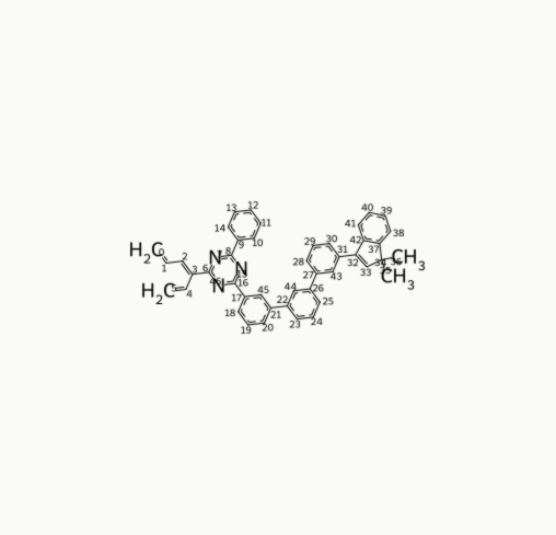 C=C/C=C(\C=C)c1nc(-c2ccccc2)nc(-c2cccc(-c3cccc(-c4cccc(C5=CC(C)(C)c6ccccc65)c4)c3)c2)n1